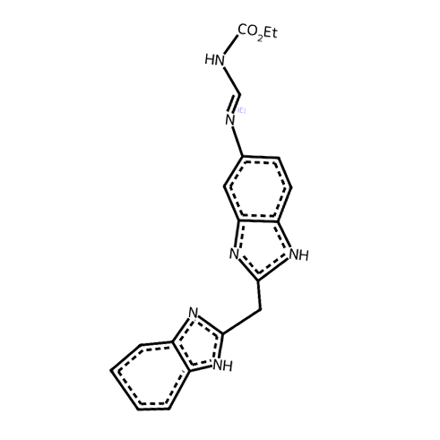 CCOC(=O)N/C=N/c1ccc2[nH]c(Cc3nc4ccccc4[nH]3)nc2c1